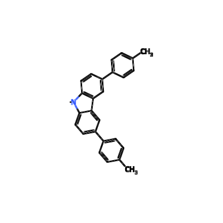 Cc1ccc(-c2ccc3c(c2)-c2cc(-c4ccc(C)cc4)ccc2[N]3)cc1